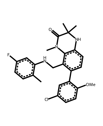 COc1ccc(Cl)cc1-c1ccc2c(c1CNc1cc(F)ccc1C)N(C)C(=O)C(C)(C)N2